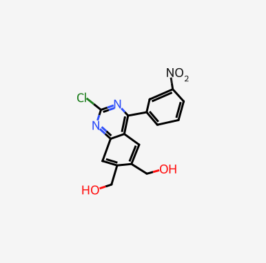 O=[N+]([O-])c1cccc(-c2nc(Cl)nc3cc(CO)c(CO)cc23)c1